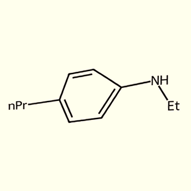 CCCc1ccc(NCC)cc1